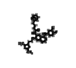 CC1CN(C)CC1CCOc1cc2ncnc(Nc3ccc(F)c(Cl)c3)c2cc1NC(=O)/C=C/CN1CC2CCC1CO2